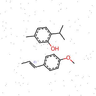 C/C=C/c1ccc(OC)cc1.Cc1ccc(C(C)C)c(O)c1